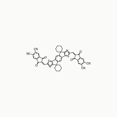 N#Cc1cc2c(cc1C#N)C(=O)C(=Cc1nc3c(s1)-c1cc4c(cc1C31CCCCC1)-c1sc(C=C3C(=O)c5cc(C#N)c(C#N)cc5C3=O)nc1C41CCCCC1)C2=O